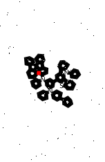 c1ccc(-c2ccc(N(c3ccccc3)c3cc(-c4cc5c6ccccc6n(-c6ccccc6)c5c5c4sc4ccccc45)cc(N(c4ccccc4)c4ccc5c(c4)C4(c6ccccc6-c6ccccc64)c4ccccc4-5)c3)cc2)cc1